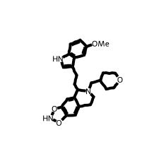 COc1ccc2[nH]cc(CCC3c4cc5c(cc4CCN3CC3CCOCC3)ONO5)c2c1